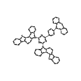 c1ccc2c(-c3ccc(-c4nc(-n5c6ccccc6c6c7sc8ccccc8c7ccc65)nc(-n5c6ccccc6c6c7sc8ccccc8c7ccc65)n4)cc3)c3ccccc3cc2c1